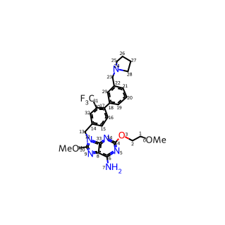 COCCOc1nc(N)c2nc(OC)n(Cc3ccc(-c4cccc(CN5CCCC5)c4)c(C(F)(F)F)c3)c2n1